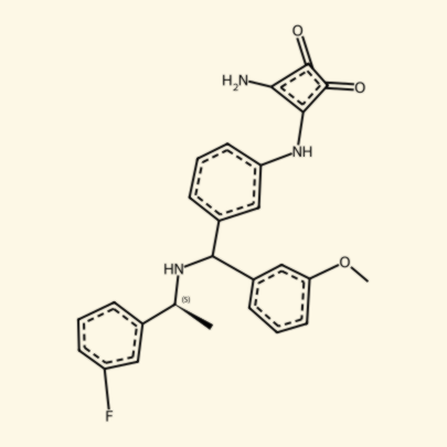 COc1cccc(C(N[C@@H](C)c2cccc(F)c2)c2cccc(Nc3c(N)c(=O)c3=O)c2)c1